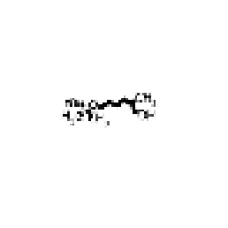 CC(=CCCCO[Si](C)(C)C(C)(C)C)CO